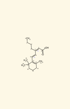 CCCCC(=C/C(=O)O)/C=C/C1=C(C)CCCC1(C)C